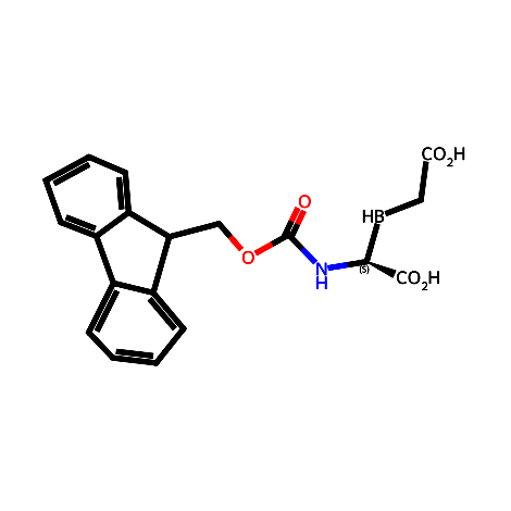 O=C(O)CB[C@H](NC(=O)OCC1c2ccccc2-c2ccccc21)C(=O)O